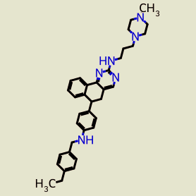 CCc1ccc(CNc2ccc(C3Cc4cnc(NCCCN5CCN(C)CC5)nc4-c4ccccc43)cc2)cc1